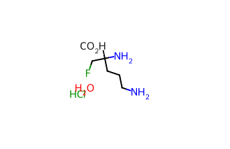 Cl.NCCCC(N)(CF)C(=O)O.O